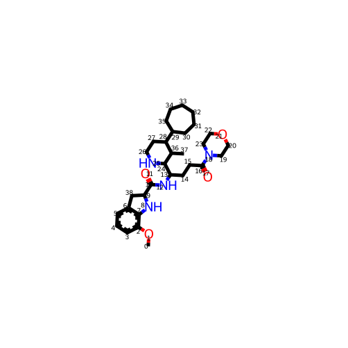 COc1cccc2c1NC(C(=O)NC(CCC(=O)N1CCOCC1)C1NCCC(C3CCCCCC3)C1C)C2